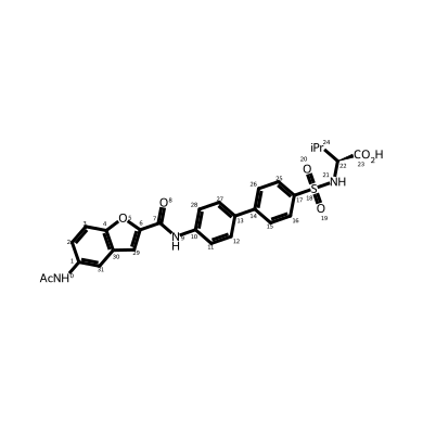 CC(=O)Nc1ccc2oc(C(=O)Nc3ccc(-c4ccc(S(=O)(=O)N[C@H](C(=O)O)C(C)C)cc4)cc3)cc2c1